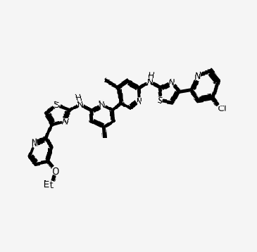 CCOc1ccnc(-c2csc(Nc3cc(C)cc(-c4cnc(Nc5nc(-c6cc(Cl)ccn6)cs5)cc4C)n3)n2)c1